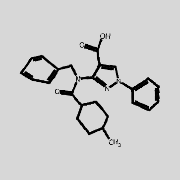 CC1CCC(C(=O)N(Cc2ccccc2)c2nn(-c3ccccc3)cc2C(=O)O)CC1